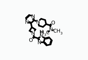 CN(C)C(=O)C1CCN(c2nccnc2C2CN(C(=O)c3nc4ccccc4[nH]3)C2)CC1